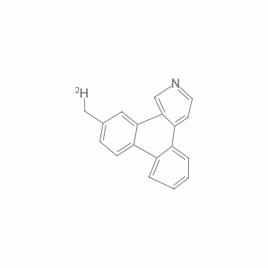 [2H]Cc1ccc2c3ccccc3c3ccncc3c2c1